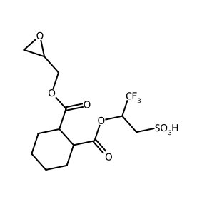 O=C(OCC1CO1)C1CCCCC1C(=O)OC(CS(=O)(=O)O)C(F)(F)F